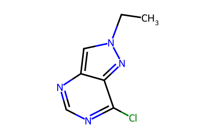 CCn1cc2ncnc(Cl)c2n1